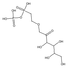 O=C(COCCP(=O)(O)OP(=O)(O)O)C(O)C(O)C(O)CO